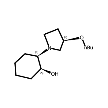 CCCCO[C@@H]1CCN([C@@H]2CCCC[C@@H]2O)C1